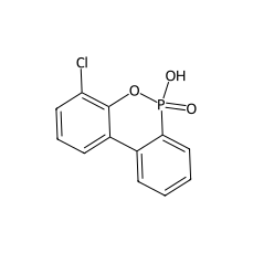 O=P1(O)Oc2c(Cl)cccc2-c2ccccc21